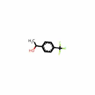 CC(O)c1ccc(C(F)(F)F)cc1